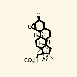 CC(=O)[C@@]1(CC(=O)O)[C@@H](C)C[C@H]2[C@@H]3CCC4=CC(=O)C5=C(O5)[C@]4(C)[C@H]3CC[C@@]21C